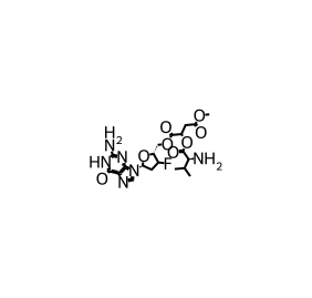 COC(=O)CC(OC(=O)[C@@H](N)C(C)C)C(=O)OC[C@H]1O[C@@H](n2cnc3c(=O)[nH]c(N)nc32)CC1F